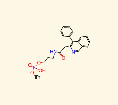 CC(C)OP(=O)(O)OCCCNC(=O)Cc1ncc2ccccc2c1-c1ccccc1